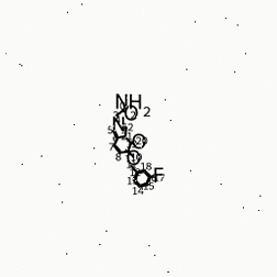 NC(=O)CN1C=C2C=CC(OCc3cccc(F)c3)C(=O)C2C1